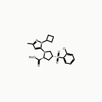 COC(=O)[C@@H]1C[C@@H](S(=O)(=O)c2ccccc2Cl)CN1c1cc(C)nn1C1CCC1